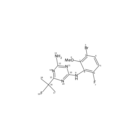 COc1c(Br)ccc(F)c1Nc1nc(N)nc(C(C)(C)F)n1